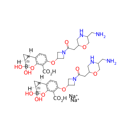 NCC1COC(CC(=O)N2CC(Oc3ccc4c(c3C(=O)O)O[B-](O)(O)[C@H]3C[C@@H]43)C2)CN1.NCC1COC(CC(=O)N2CC(Oc3ccc4c(c3C(=O)O)O[B-](O)(O)[C@H]3C[C@@H]43)C2)CN1.[Na+].[Na+]